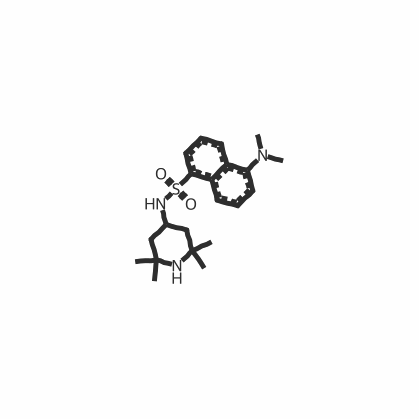 CN(C)c1cccc2c(S(=O)(=O)NC3CC(C)(C)NC(C)(C)C3)cccc12